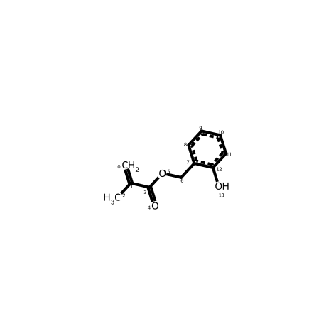 C=C(C)C(=O)OCc1ccccc1O